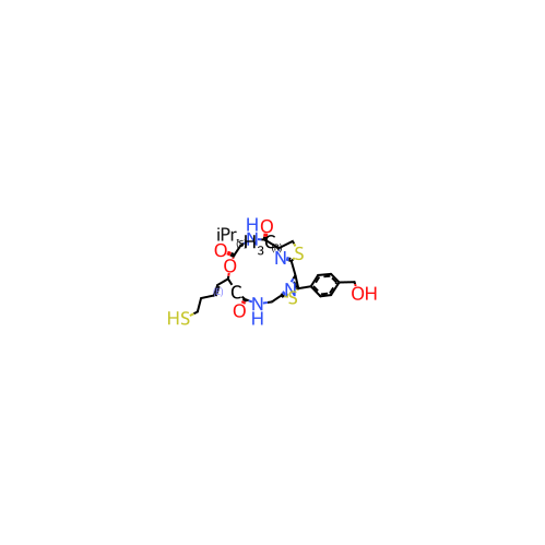 CC(C)[C@@H]1NC(=O)[C@]2(C)CSC(=N2)c2nc(sc2-c2ccc(CO)cc2)CNC(=O)CC(/C=C/CCS)OC1=O